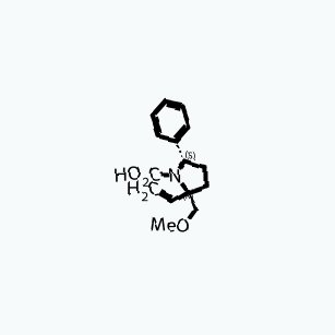 C=C[C@@]1(COC)CC[C@@H](c2ccccc2)N1C(=O)O